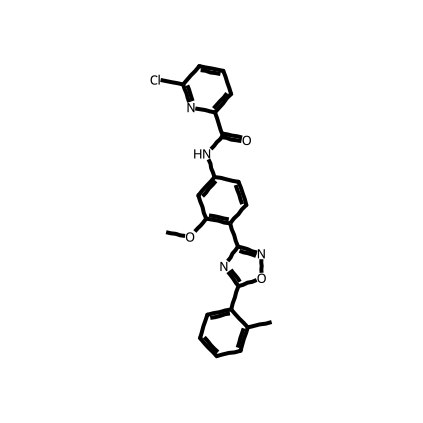 COc1cc(NC(=O)c2cccc(Cl)n2)ccc1-c1noc(-c2ccccc2C)n1